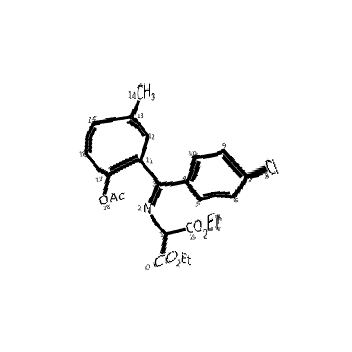 CCOC(=O)C(N=C(c1ccc(Cl)cc1)c1cc(C)ccc1OC(C)=O)C(=O)OCC